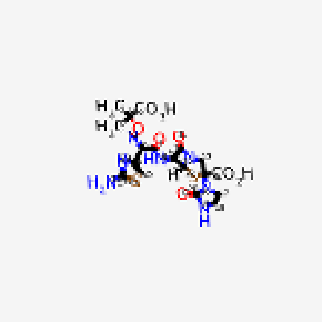 CC(C)(O/N=C(\C(=O)NC1C(=O)N2CC(C(=O)O)(N3CCNC3=O)S[C@H]12)c1csc(N)n1)C(=O)O